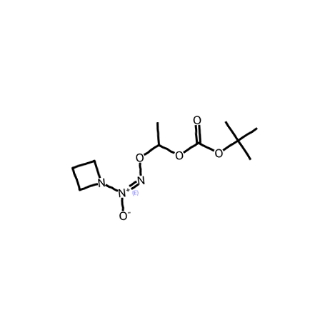 CC(O/N=[N+](/[O-])N1CCC1)OC(=O)OC(C)(C)C